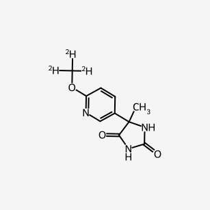 [2H]C([2H])([2H])Oc1ccc(C2(C)NC(=O)NC2=O)cn1